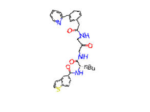 CCCC[C@H](NC(=O)c1ccc2sccc2c1)C(=O)NCC(=O)CNC(=O)Cc1cccc(-c2ccccn2)c1